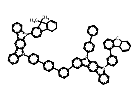 CC1(C)C2=C(CCC=C2)c2ccc(-n3c4ccccc4c4cc5c6ccccc6n(-c6ccc(-c7ccc(-c8cccc(-c9ccc%10c(c9)c9cc%11c%12ccccc%12n(-c%12cccc(-c%13cccc%14c%13C%13C=CC=CC%13O%14)c%12)c%11cc9n%10-c9ccc(-c%10ccccc%10)cc9)c8)cc7)cc6)c5cc43)cc21